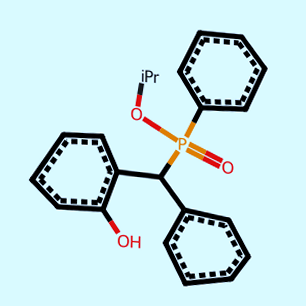 CC(C)OP(=O)(c1ccccc1)C(c1ccccc1)c1ccccc1O